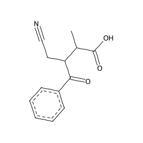 CC(C(=O)O)C(CC#N)C(=O)c1ccccc1